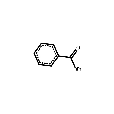 CCCC(=O)c1cc[c]cc1